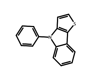 c1ccc(-n2c3ccccc3c3sccc32)cc1